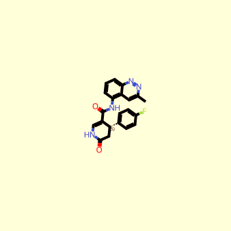 Cc1cc2c(NC(=O)C3=CNC(=O)C[C@H]3c3ccc(F)cc3)cccc2nn1